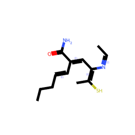 C\C=N/C(/C=C(\C=C\CCC)C(N)=O)=C(/C)S